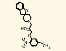 COc1ccc([N+](=O)[O-])c(OC[C@H](O)CN2CCC3(CC2)Cc2ccccc2O3)c1